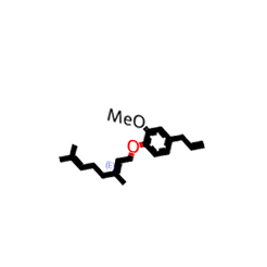 C=CCc1ccc(OC/C=C(\C)CCC=C(C)C)c(OC)c1